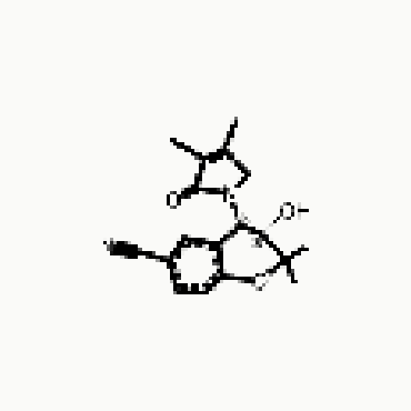 CC1=C(C)C(=O)N([C@@H]2c3cc(C#N)ccc3OC(C)(C)[C@H]2O)C1